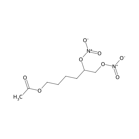 CC(=O)OCCCCC(CO[N+](=O)[O-])O[N+](=O)[O-]